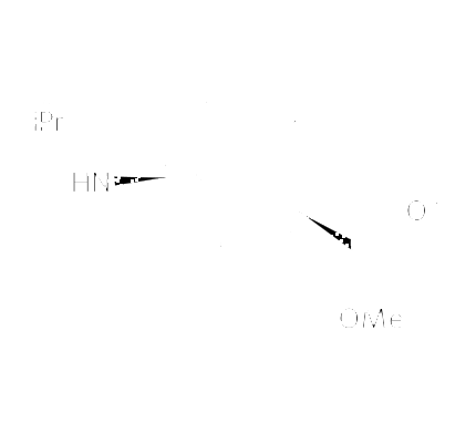 COC(=O)[C@@H]1CC[C@H](NC(C)C)C1